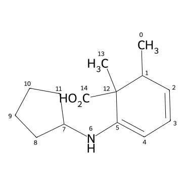 CC1C=CC=C(NC2CCCC2)C1(C)C(=O)O